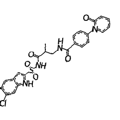 CC(CNC(=O)c1ccc(-n2ccccc2=O)cc1)C(=O)NS(=O)(=O)c1cc2ccc(Cl)cc2[nH]1